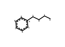 CC[C]Cc1ccccc1